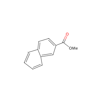 COC(=O)c1ccc2[c]cccc2c1